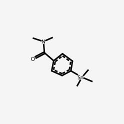 CN(C)C(=O)c1cc[c]([Sn]([CH3])([CH3])[CH3])cc1